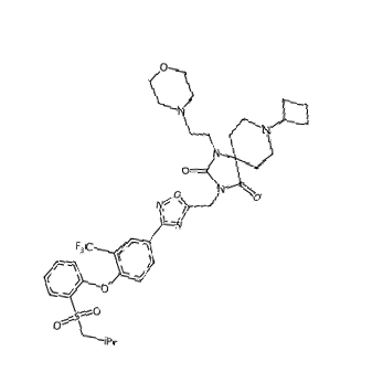 CC(C)CS(=O)(=O)c1ccccc1Oc1ccc(-c2noc(CN3C(=O)N(CCN4CCOCC4)C4(CCN(C5CCC5)CC4)C3=O)n2)cc1C(F)(F)F